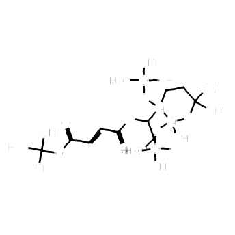 CCC(OC(=O)C=CC(=O)OC(C)(C)C)[Si]1(O[Si](C)(C)C)CCC(C)(C)O[Si]1(C)O[Si](C)(C)C